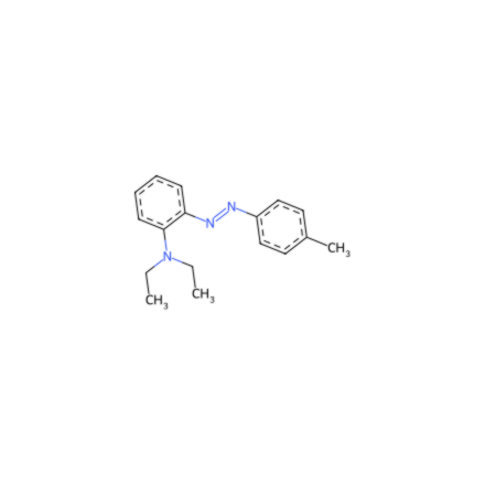 CCN(CC)c1ccccc1N=Nc1ccc(C)cc1